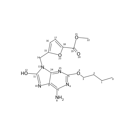 CCCCOc1nc(N)c2nc(O)n(Cc3ccc(C(=O)OC)o3)c2n1